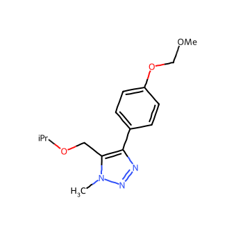 COCOc1ccc(-c2nnn(C)c2COC(C)C)cc1